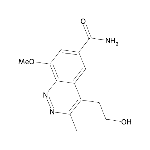 COc1cc(C(N)=O)cc2c(CCO)c(C)nnc12